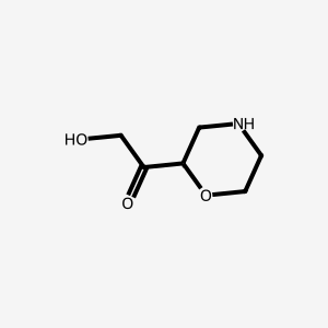 O=C(CO)[C]1CNCCO1